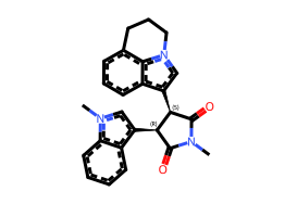 CN1C(=O)[C@H](c2cn3c4c(cccc24)CCC3)[C@H](c2cn(C)c3ccccc23)C1=O